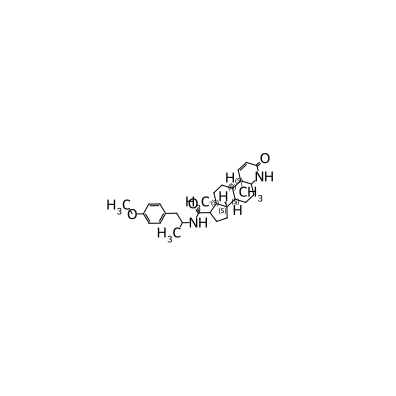 COc1ccc(CC(C)NC(=O)C2CC[C@H]3[C@@H]4CCC5NC(=O)C=C[C@]5(C)[C@@H]4CC[C@]23C)cc1